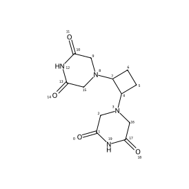 O=C1CN(C2CCC2N2CC(=O)NC(=O)C2)CC(=O)N1